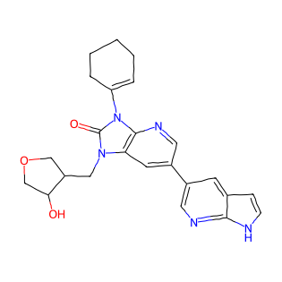 O=c1n(CC2COCC2O)c2cc(-c3cnc4[nH]ccc4c3)cnc2n1C1=CCCCC1